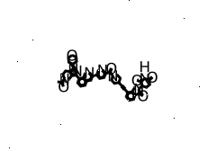 CC(=O)N1CCc2c(c(-c3cccc4cc(-c5ccc(C(=O)N6CCC(C#Cc7cccc8c7CN(C7CCC(=O)NC7=O)C8=O)CC6)nc5)ncc34)nn2C2CCOCC2)C1